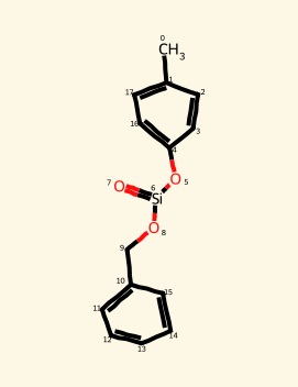 Cc1ccc(O[Si](=O)OCc2ccccc2)cc1